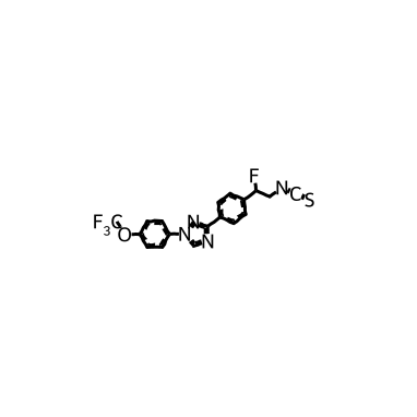 FC(CN=C=S)c1ccc(-c2ncn(-c3ccc(OC(F)(F)F)cc3)n2)cc1